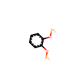 POc1ccccc1OP